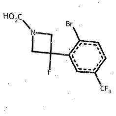 O=C(O)N1CC(F)(c2cc(C(F)(F)F)ccc2Br)C1